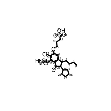 CCCCC1c2cc(OCCCS(=O)(=O)O)c(Cl)c(Cl)c2C(=O)C1C1CCCC1.O.[NaH]